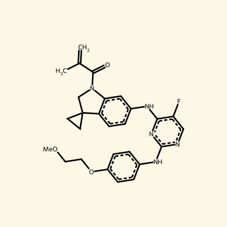 C=C(C)C(=O)N1CC2(CC2)c2ccc(Nc3nc(Nc4ccc(OCCOC)cc4)ncc3F)cc21